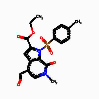 CCOC(=O)c1cc2c(C=O)cn(C)c(=O)c2n1S(=O)(=O)c1ccc(C)cc1